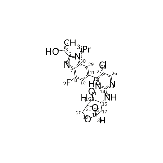 CC(C)n1c([C@H](C)O)nc2c(F)cc(-c3nc(N[C@@H]4C[C@H]5OC[C@H](O5)[C@H]4O)ncc3Cl)cc21